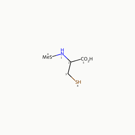 CSNC(CS)C(=O)O